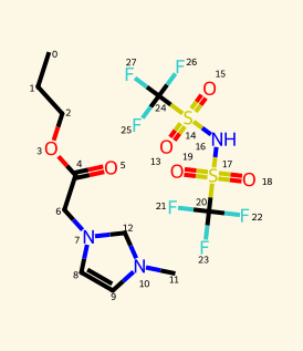 CCCOC(=O)CN1C=CN(C)C1.O=S(=O)(NS(=O)(=O)C(F)(F)F)C(F)(F)F